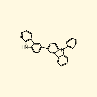 c1ccc2c(c#1)[nH]c1ccc(-c3ccc4c(c3)c3ccccc3n4-c3ccccc3)cc12